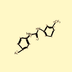 CC(=O)c1ccc(NC(=O)Nc2cccc(C)c2)cc1